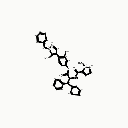 Cc1c(-c2ccc(NC(=O)C(NC(=O)c3ccnn3C)C(c3ccccc3)c3ccccc3)cc2F)cnn1Cc1ccccc1